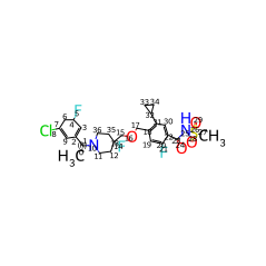 C[C@H](C1=CC(F)CC(Cl)=C1)N1CCC(F)(COCc2cc(F)c(C(=O)NS(C)(=O)=O)cc2C2CC2)CC1